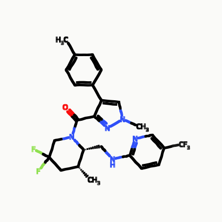 Cc1ccc(-c2cn(C)nc2C(=O)N2CC(F)(F)C[C@@H](C)[C@H]2CNc2ccc(C(F)(F)F)cn2)cc1